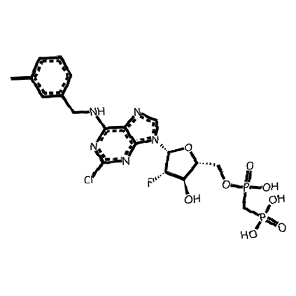 Cc1cccc(CNc2nc(Cl)nc3c2ncn3[C@@H]2O[C@H](COP(=O)(O)CP(=O)(O)O)[C@@H](O)[C@@H]2F)c1